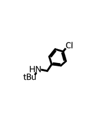 CC(C)(C)NCc1ccc(Cl)cc1